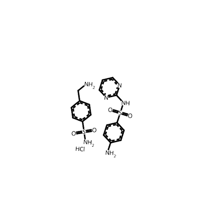 Cl.NCc1ccc(S(N)(=O)=O)cc1.Nc1ccc(S(=O)(=O)Nc2ncccn2)cc1